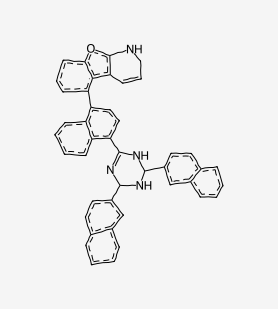 C1=Cc2c(oc3cccc(-c4ccc(C5=NC(c6ccc7ccccc7c6)NC(c6ccc7ccccc7c6)N5)c5ccccc45)c23)NC1